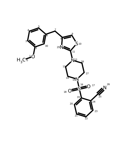 COc1cccc(Cc2csc(N3CCN(S(=O)(=O)c4ccccc4C#N)CC3)n2)c1